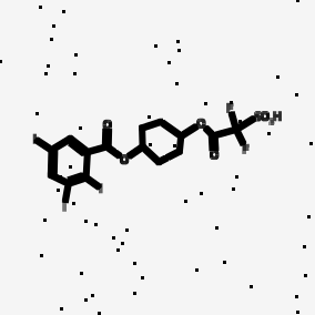 O=C(OC1CCC(OC(=O)C(F)(F)S(=O)(=O)O)CC1)c1cc(I)cc(I)c1I